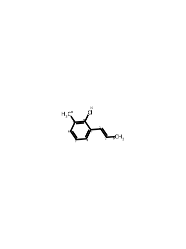 C[C]=Cc1cccc(C)c1Cl